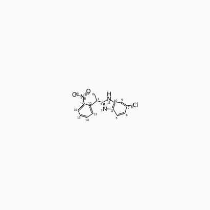 CC(c1nc2ccc(Cl)cc2[nH]1)c1ccccc1[N+](=O)[O-]